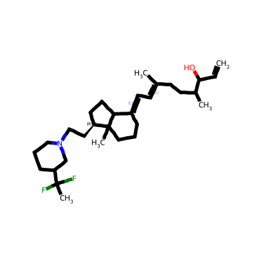 C=CC(O)C(C)CC/C(C)=C/C=C1\CCCC2(C)C1CC[C@@H]2CCN1CCCC(C(C)(F)F)C1